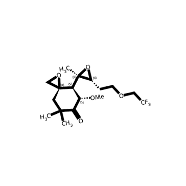 CO[C@@H]1C(=O)C(C)(C)C[C@]2(CO2)[C@H]1[C@@]1(C)O[C@@H]1CCOCC(F)(F)F